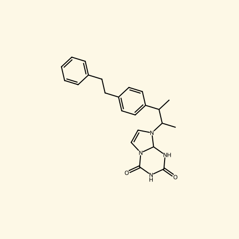 CC(c1ccc(CCc2ccccc2)cc1)C(C)N1C=CN2C(=O)NC(=O)NC21